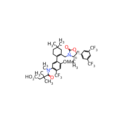 COc1cc(C(F)(F)F)c(N(C)C(=O)C(C)(C)CC(=O)O)cc1C1=C(CN2C(=O)O[C@H](c3cc(C(F)(F)F)cc(C(F)(F)F)c3)[C@@H]2C)CC(C)(C)CC1